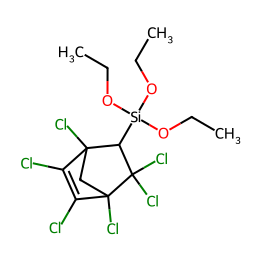 CCO[Si](OCC)(OCC)C1C2(Cl)CC(Cl)(C(Cl)=C2Cl)C1(Cl)Cl